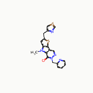 Cn1c2cc(Cc3cscn3)sc2c2cnn(Cc3ccccn3)c(=O)c21